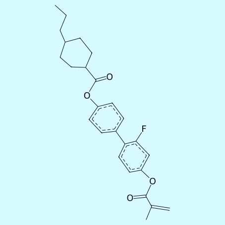 C=C(C)C(=O)Oc1ccc(-c2ccc(OC(=O)C3CCC(CCC)CC3)cc2)c(F)c1